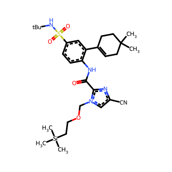 CC1(C)CC=C(c2cc(S(=O)(=O)NC(C)(C)C)ccc2NC(=O)c2nc(C#N)cn2COCC[Si](C)(C)C)CC1